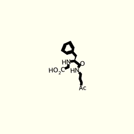 CC(=O)CCCNC(=O)[C@H](Cc1ccccc1)NCC(=O)O